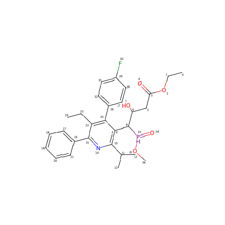 CCOC(=O)CC(O)C(c1c(C(C)C)nc(-c2ccccc2)c(CC)c1-c1ccc(F)cc1)[PH](=O)OC